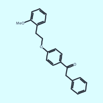 COc1ccccc1CCOc1ccc(C(=O)Cc2ccccc2)cc1